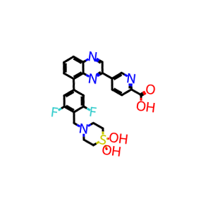 O=C(O)c1ccc(-c2cnc3cccc(-c4cc(F)c(CN5CCS(O)(O)CC5)c(F)c4)c3n2)cn1